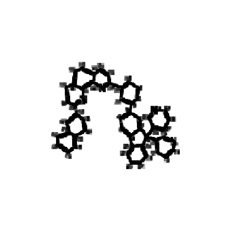 c1cc(-c2ccc3c(c2)C(c2cccnc2)(c2cccnc2)c2ccccc2-3)cc(-c2ccc3ccc4ccc(-c5ccc6ccccc6c5)nc4c3n2)c1